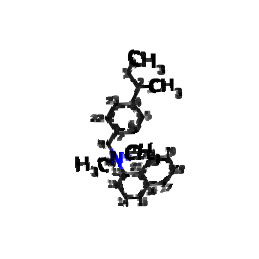 CCC(C)c1ccc(C[N+](C)(C)c2cccc3ccccc23)cc1